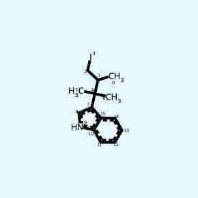 CC(CI)C(C)(C)c1c[nH]c2ccccc12